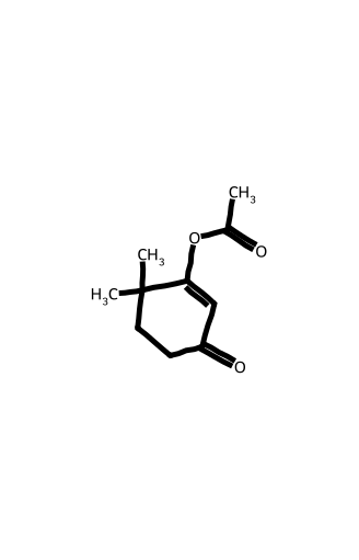 CC(=O)OC1=CC(=O)CCC1(C)C